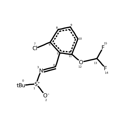 CC(C)(C)[S+]([O-])/N=C/c1c(Cl)cccc1OC(F)F